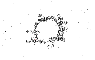 CCCC[C@H]1C(=O)N[C@@H](CCCN)C(=O)NCCSCC(=O)N[C@@H](Cc2ccc(OC)cc2)C(=O)N(C)CC(=O)N[C@@H](CC(=O)O)C(=O)N2CCCC2C(=O)N[C@@H](CN)C(=O)N[C@@H](CCCCN)C(=O)N2CCCC2C(=O)N[C@@H](Cc2c[nH]c3ccccc23)C(=O)N[C@@H](CC(=O)O)C(=O)N[C@@H](Cc2c[nH]c3ccccc23)C(=O)N(C)CC(=O)N1C